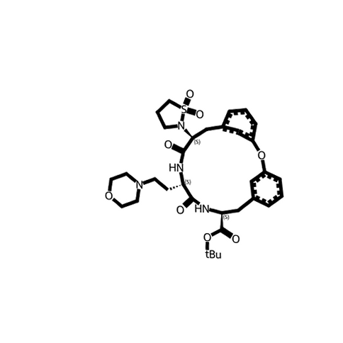 CC(C)(C)OC(=O)[C@@H]1Cc2cccc(c2)Oc2cccc(c2)C[C@H](N2CCCS2(=O)=O)C(=O)N[C@@H](CCN2CCOCC2)C(=O)N1